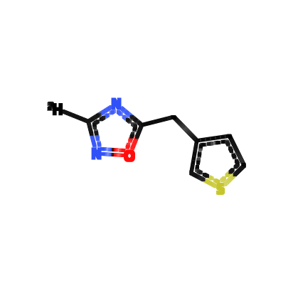 [2H]c1noc(Cc2ccsc2)n1